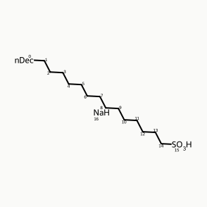 CCCCCCCCCCCCCCCCCCCCCCCCS(=O)(=O)O.[NaH]